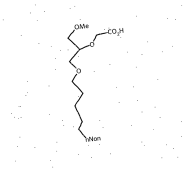 CCCCCCCCCCCCCCOCC(COC)OCC(=O)O